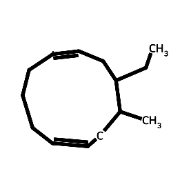 CCC1C/C=[C]\CCC/C=C\CC1C